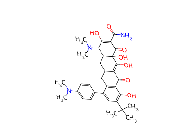 CN(C)c1ccc(-c2cc(C(C)(C)C)c(O)c3c2CC2CC4C(N(C)C)C(O)=C(C(N)=O)C(=O)C4(O)C(O)=C2C3=O)cc1